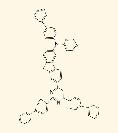 c1ccc(-c2ccc(-c3cc(-c4ccc5c(c4)Cc4ccc(N(c6ccccc6)c6ccc(-c7ccccc7)cc6)cc4-5)nc(-c4ccc(-c5ccccc5)cc4)n3)cc2)cc1